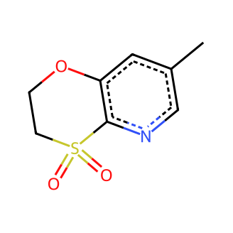 Cc1cnc2c(c1)OCCS2(=O)=O